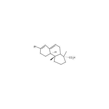 CC(C)C1=CC2=CCC3[C@](C)(C(=O)O)CCC[C@]3(C)[C@H]2CC1